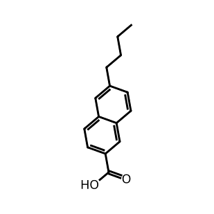 CCCCc1ccc2cc(C(=O)O)ccc2c1